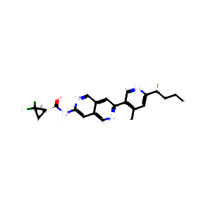 CCC[C@H](O)c1cc(C)c(-c2cc3cnc(NC(=O)[C@H]4CC4(F)F)cc3cn2)cn1